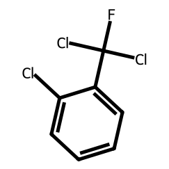 FC(Cl)(Cl)c1ccccc1Cl